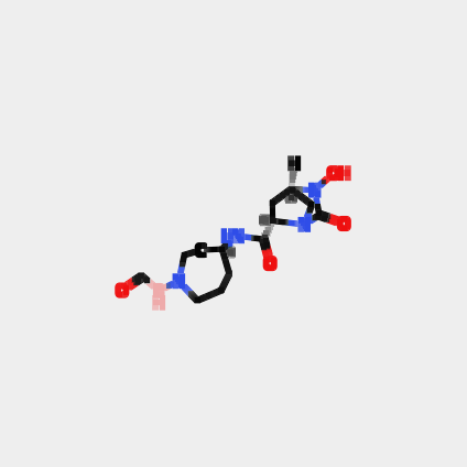 O=CBN1CCC[C@H](NC(=O)[C@@H]2C[C@@H]3CN2C(=O)N3O)CC1